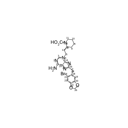 Nc1ncn(CC[C@@H]2CCCCN2C(=O)O)c2nc(Sc3cc4c(cc3Br)OCO4)nc1-2